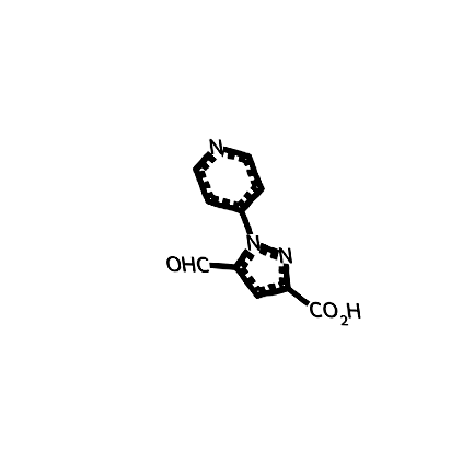 O=Cc1cc(C(=O)O)nn1-c1ccncc1